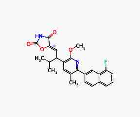 COc1nc(-c2ccc3cccc(F)c3c2)c(C)cc1C(/C=C1\OC(=O)NC1=O)C(C)C